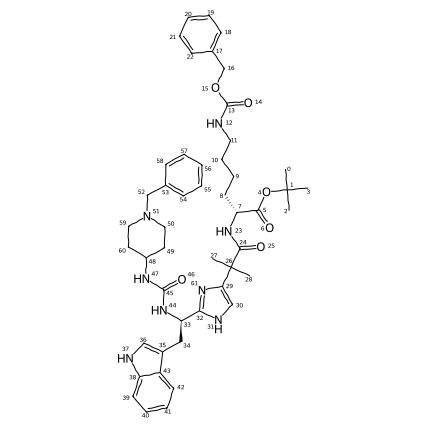 CC(C)(C)OC(=O)[C@@H](CCCCNC(=O)OCc1ccccc1)NC(=O)C(C)(C)c1c[nH]c([C@@H](Cc2c[nH]c3ccccc23)NC(=O)NC2CCN(Cc3ccccc3)CC2)n1